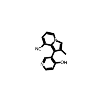 Cc1cn2cccc(C#N)c2c1-c1cnccc1O